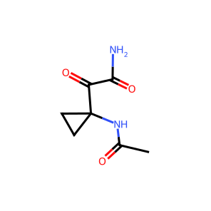 CC(=O)NC1(C(=O)C(N)=O)CC1